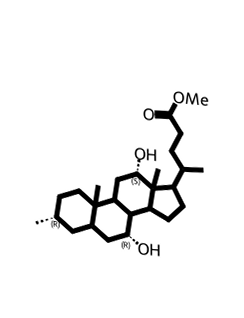 COC(=O)CCC(C)C1CCC2C3C(C[C@H](O)C12C)C1(C)CC[C@@H](C)CC1C[C@H]3O